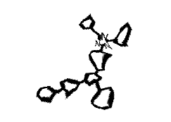 c1ccc(-c2ccc(-c3cc(-c4ccccc4)cc(-c4ccc(-c5nc(-c6ccccc6)nc(-c6ccccc6)n5)cc4)c3)cc2)cc1